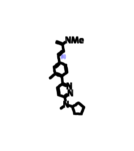 C=C(/C=C/c1ccc(-c2ccc(N(C)C3CCCC3)nn2)c(C)c1)NC